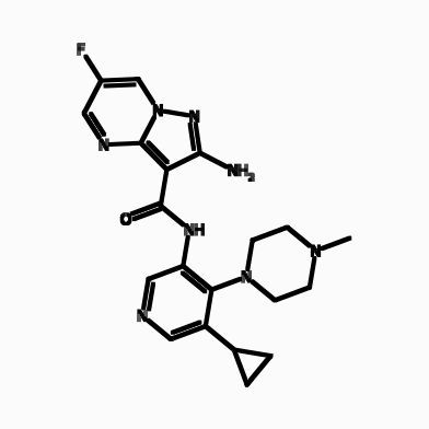 CN1CCN(c2c(NC(=O)c3c(N)nn4cc(F)cnc34)cncc2C2CC2)CC1